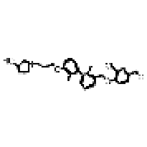 Cc1c(COc2ccc(C=O)cc2Cl)cccc1-c1cccc(OCCCN2CCC(O)C2)c1C